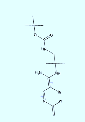 C=C(Cl)/N=C\C(Br)=C(/N)NC(C)(C)CNC(=O)OC(C)(C)C